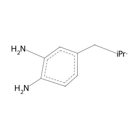 C[C](C)Cc1ccc(N)c(N)c1